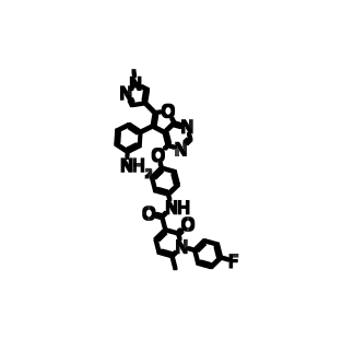 Cc1ccc(C(=O)Nc2ccc(Oc3ncnc4oc(-c5cnn(C)c5)c(-c5cccc(N)c5)c34)cc2)c(=O)n1-c1ccc(F)cc1